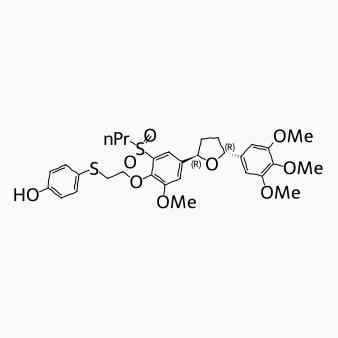 CCCS(=O)(=O)c1cc([C@H]2CC[C@H](c3cc(OC)c(OC)c(OC)c3)O2)cc(OC)c1OCCSc1ccc(O)cc1